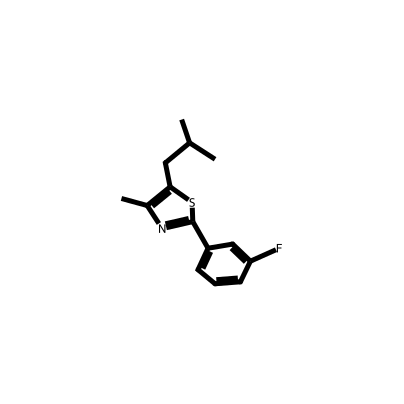 Cc1nc(-c2cccc(F)c2)sc1CC(C)C